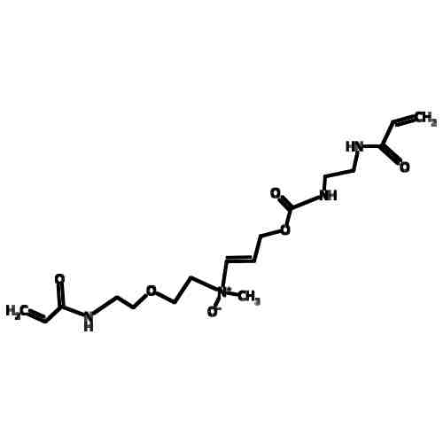 C=CC(=O)NCCNC(=O)OC/C=C/[N+](C)([O-])CCOCCNC(=O)C=C